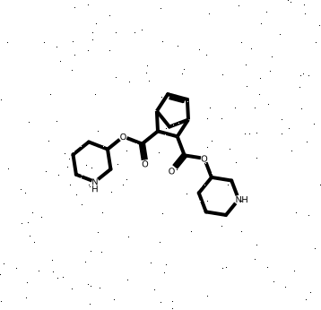 O=C(OC1CCCNC1)C1C2C=CC(C2)C1C(=O)OC1CCCNC1